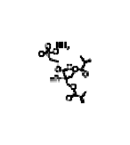 C=C(C)C(=O)OCC(CCC)(COC(=O)C(=C)C)C(=O)OCCS(=O)(=O)ON